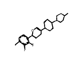 Cc1ccc(C2CCC(C3CCC(C4CCC(C)CC4)CC3)=CO2)c(F)c1F